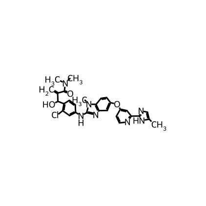 C=C(C(=O)N(C)C)C(O)c1ccc(Nc2nc3cc(Oc4ccnc(-c5ncc(C)[nH]5)c4)ccc3n2C)cc1Cl